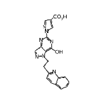 O=C(O)c1cnn(-c2nc(O)c3c(cnn3CCc3ccc4ccccc4n3)n2)c1